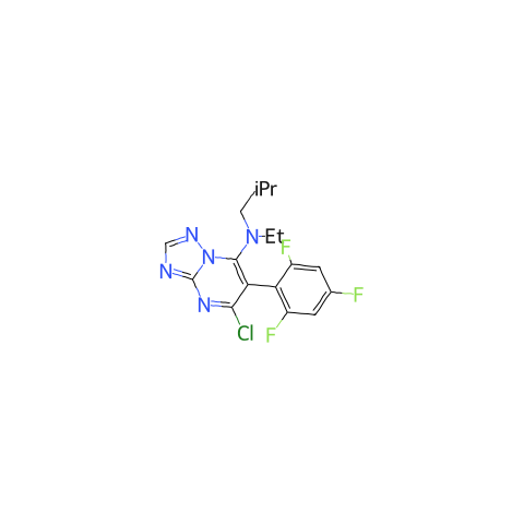 CCN(CC(C)C)c1c(-c2c(F)cc(F)cc2F)c(Cl)nc2ncnn12